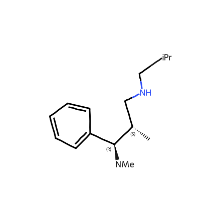 [CH2-][NH2+][C@@H](c1ccccc1)[C@@H](C)CNCC(C)C